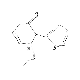 CC[C@@H]1C=CCC(=O)C1c1cccs1